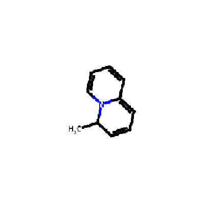 CC1C=CC=C2C=CC=CN21